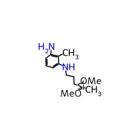 CO[Si](C)(CCCNc1cccc(N)c1C)OC